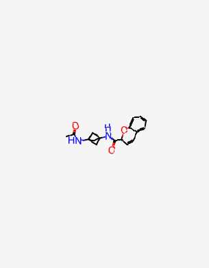 CC(=O)NC12CC(NC(=O)C3C=Cc4ccccc4O3)(C1)C2